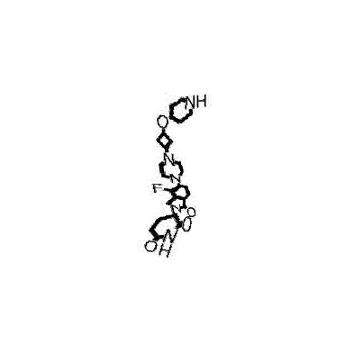 O=C1CCC(N2Cc3c(ccc(N4CCN(C5CC(OC6CCNCC6)C5)CC4)c3F)C2=O)C(=O)N1